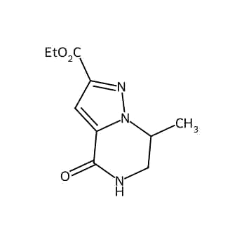 CCOC(=O)c1cc2n(n1)C(C)CNC2=O